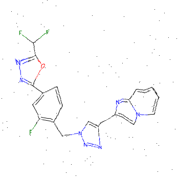 Fc1cc(-c2nnc(C(F)F)o2)ccc1Cn1cc(-c2cn3ccccc3n2)nn1